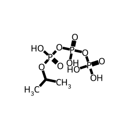 CC(C)OP(=O)(O)OP(=O)(O)OP(=O)(O)O